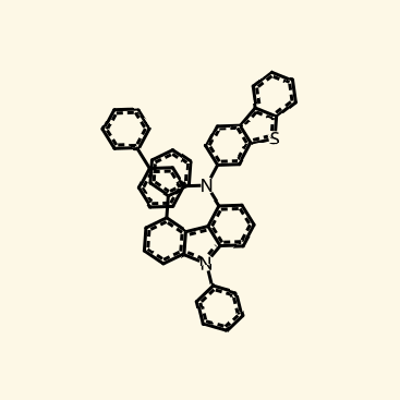 c1ccc(-c2cccc(N(c3ccc4c(c3)sc3ccccc34)c3cccc4c3c3c(-c5ccccc5)cccc3n4-c3ccccc3)c2)cc1